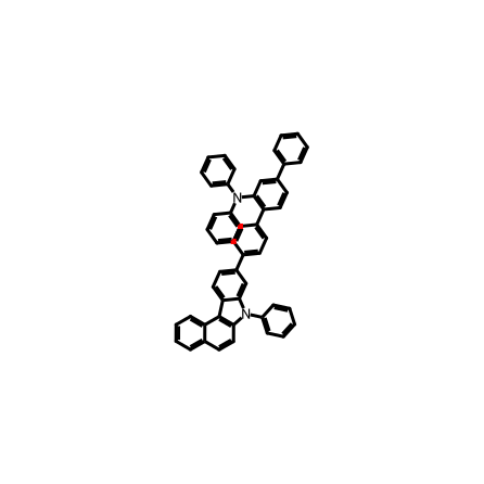 c1ccc(-c2ccc(-c3ccc(-c4ccc5c6c7ccccc7ccc6n(-c6ccccc6)c5c4)cc3)c(N(c3ccccc3)c3ccccc3)c2)cc1